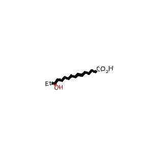 CCC(O)CCCCCC/C=C/CCCCC(=O)O